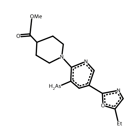 CCc1cnc(-c2cnc(N3CCC(C(=O)OC)CC3)c([AsH2])c2)o1